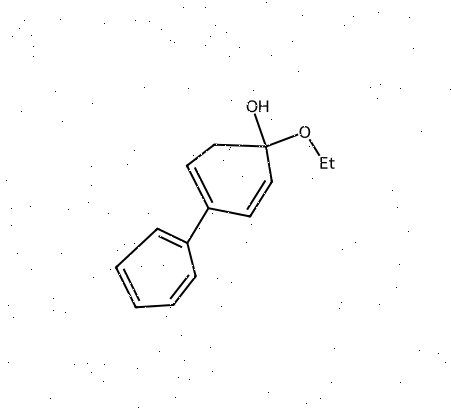 CCOC1(O)C=CC(c2ccccc2)=CC1